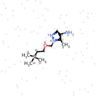 Cc1c(N)cnn1COCC[Si](C)(C)C